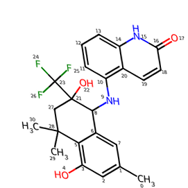 Cc1cc(O)c2c(c1)C(Nc1cccc3[nH]c(=O)ccc13)C(O)(C(F)(F)F)CC2(C)C